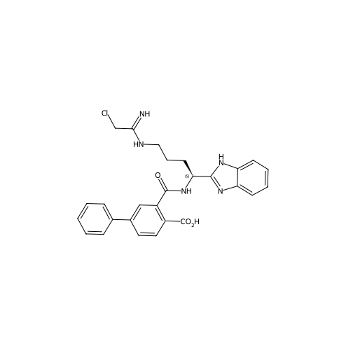 N=C(CCl)NCCC[C@H](NC(=O)c1cc(-c2ccccc2)ccc1C(=O)O)c1nc2ccccc2[nH]1